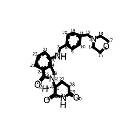 [2H][C@]1(N2Cc3c(NCc4ccc(CN5CCOCC5)cc4)cccc3C2=O)CCC(=O)NC1=O